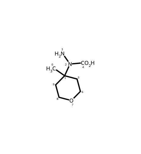 CC1(N(N)C(=O)O)CCOCC1